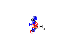 COc1ccc(N2CCOCC2)cc1S(=O)(=O)NC(=O)c1ccc2c(-n3cccn3)cccc2n1